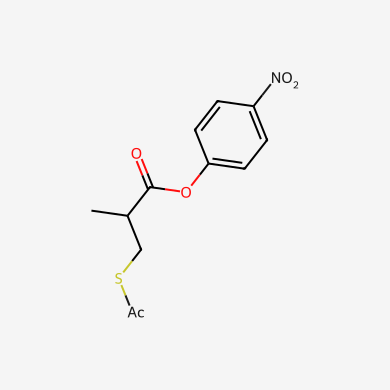 CC(=O)SCC(C)C(=O)Oc1ccc([N+](=O)[O-])cc1